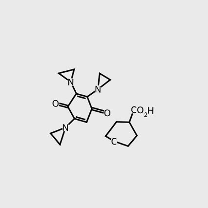 O=C(O)C1CCCCC1.O=C1C=C(N2CC2)C(=O)C(N2CC2)=C1N1CC1